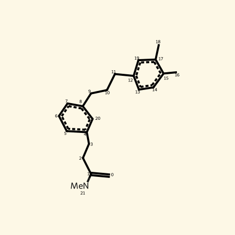 C=C(CCc1cccc(CCCc2ccc(C)c(C)c2)c1)NC